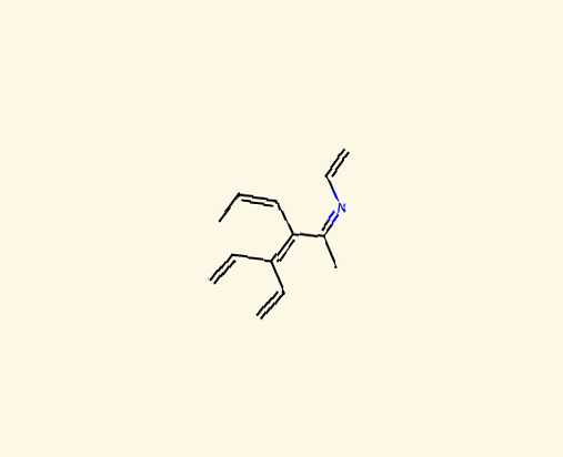 C=C/N=C(/C)C(/C=C\C)=C(C=C)C=C